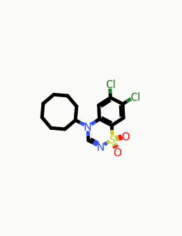 O=S1(=O)N=CN(C2CCCCCCC2)c2cc(Cl)c(Cl)cc21